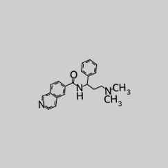 CN(C)CCC(NC(=O)c1ccc2cnccc2c1)c1ccccc1